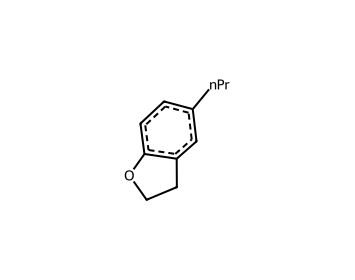 [CH2]CCc1ccc2c(c1)CCO2